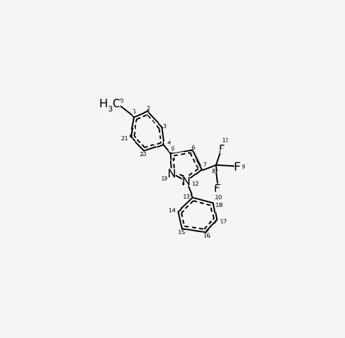 Cc1ccc(-c2cc(C(F)(F)F)n(-c3ccccc3)n2)cc1